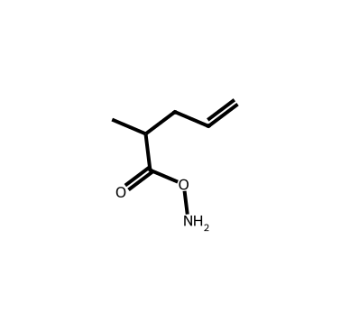 C=CCC(C)C(=O)ON